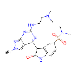 CCCn1cc2c(C3C(=O)Nc4ccc(S(=O)(=O)N(C)C)cc43)nc(NCCN(C)C)nc2n1